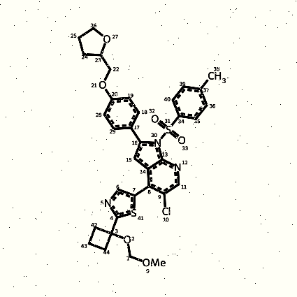 COCOC1(c2ncc(-c3c(Cl)cnc4c3cc(-c3ccc(OCC5CCCO5)cc3)n4S(=O)(=O)c3ccc(C)cc3)s2)CCC1